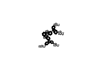 CC(C)(C)c1ccc2c(c1)c1cc(C(C)(C)C)ccc1n2-c1ccc2c(c1)Oc1cccc3c1B2c1ccc(-n2c4ccc(C(C)(C)C)cc4c4cc(C(C)(C)C)ccc42)cc1O3